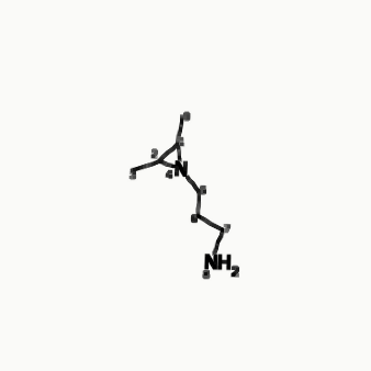 CC1C(C)N1CCCN